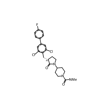 CNC(=O)N1CCC(N2CC[C@@H](Cc3c(Cl)cc(-c4ccc(F)cc4)cc3Cl)C2=O)CC1